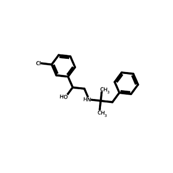 CC(C)(Cc1ccccc1)NCC(O)c1cccc(Cl)c1